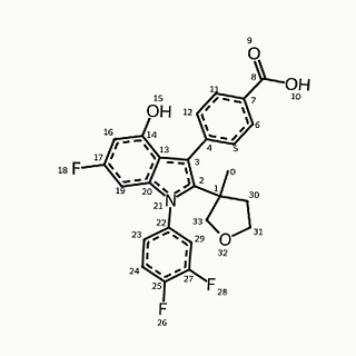 CC1(c2c(-c3ccc(C(=O)O)cc3)c3c(O)cc(F)cc3n2-c2ccc(F)c(F)c2)CCOC1